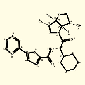 O=C(N[C@H](C(=O)N1C[C@H](Cl)[C@H]2OC[C@H](O)[C@H]21)C1CCCCC1)c1ccc(-c2cnccn2)s1